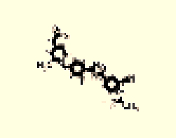 CC(C)Oc1ccc(-c2nc(-c3ccc(CN4CCC(CC(=O)O)CC4C)cc3F)no2)cc1C#N